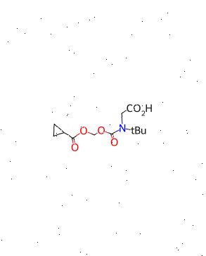 CC(C)(C)N(CC(=O)O)C(=O)OCOC(=O)C1CC1